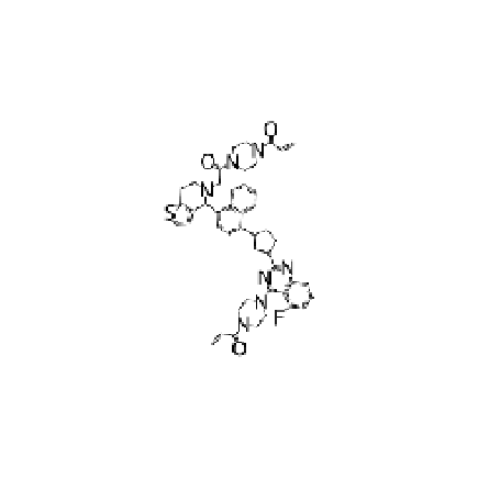 C=CC(=O)N1CCN(C(=O)CN2CCc3sccc3C2c2ccc(C3CCC(c4nc(N5CCN(C(=O)C=C)CC5)c5c(F)cccc5n4)C3)c3ccccc23)CC1